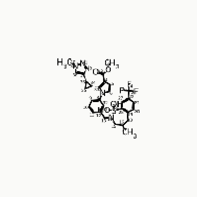 COC(=O)c1ccn(-c2cccc(CN3CC(C)Cc4ccc(C(F)(F)F)cc4S3(O)O)c2)c1[C@@H]1C[C@H]1c1cn(C)nn1